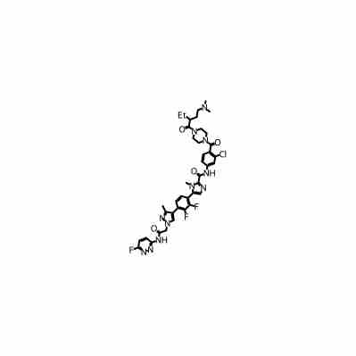 CCC(CCN(C)C)C(=O)N1CCN(C(=O)c2ccc(NC(=O)c3ncc(-c4ccc(-c5cn(CC(=O)Nc6ccc(F)nn6)nc5C)c(F)c4F)n3C)cc2Cl)CC1